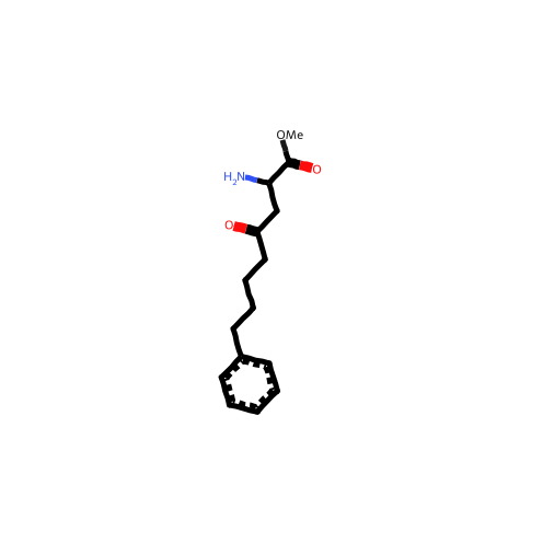 COC(=O)C(N)CC(=O)CCCCc1ccccc1